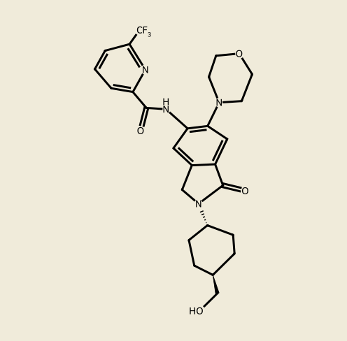 O=C(Nc1cc2c(cc1N1CCOCC1)C(=O)N([C@H]1CC[C@H](CO)CC1)C2)c1cccc(C(F)(F)F)n1